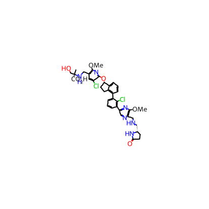 COc1nc(O[C@H]2CCc3c(-c4cccc(-c5cnc(CNC[C@@H]6CCC(=O)N6)c(OC)n5)c4Cl)cccc32)c(Cl)cc1CN[C@@](C)(CO)C(=O)O